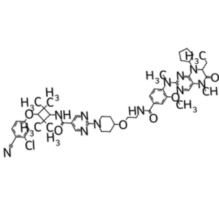 CCC1C(=O)N(C)c2cnc(N(C)c3ccc(C(=O)NCCOC4CCN(c5ncc(C(=O)NC6C(C)(C)C(Oc7ccc(C#N)c(Cl)c7)C6(C)C)cn5)CC4)cc3OC)nc2N1C1CCCC1